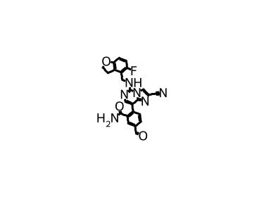 N#Cc1cn2c(NCc3c(F)ccc4c3CCO4)ncc(-c3ccc(C=O)cc3C(N)=O)c2n1